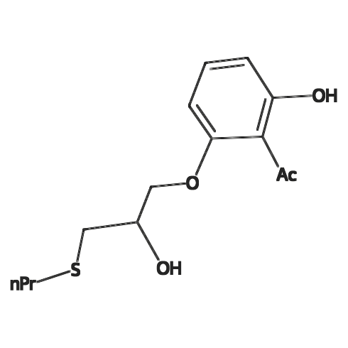 CCCSCC(O)COc1cccc(O)c1C(C)=O